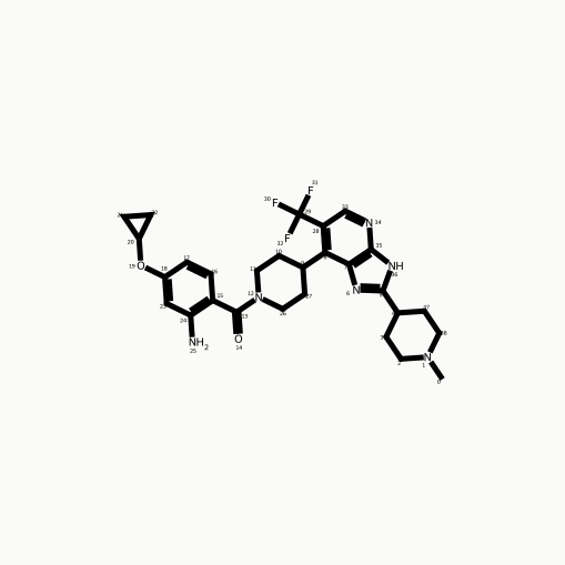 CN1CCC(c2nc3c(C4CCN(C(=O)c5ccc(OC6CC6)cc5N)CC4)c(C(F)(F)F)cnc3[nH]2)CC1